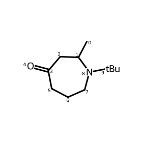 CC1CC(=O)CCCN1C(C)(C)C